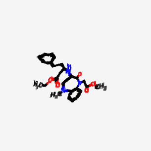 CCOC(=O)C(CCc1ccccc1)NC1CN(C)c2ccccc2N(CC(=O)OC)C1=O